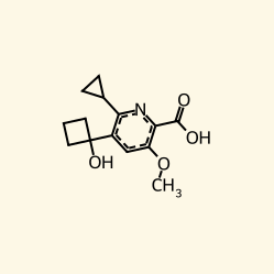 COc1cc(C2(O)CCC2)c(C2CC2)nc1C(=O)O